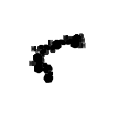 CCN(CCNC(=O)c1ccc(CCNC[C@H](O)c2ccc(O)c3[nH]c(=O)ccc23)cc1)C(=O)COc1cccc([C@](O)(C(=O)OCC2CCN(Cc3ccccc3)CC2)c2ccccc2)c1